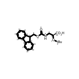 CC(C)(C)O[C@@H](CNC(=O)OCC1c2ccccc2-c2ccccc21)C(=O)O